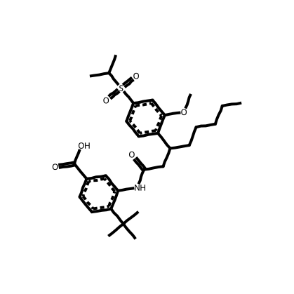 CCCCCC(CC(=O)Nc1cc(C(=O)O)ccc1C(C)(C)C)c1ccc(S(=O)(=O)C(C)C)cc1OC